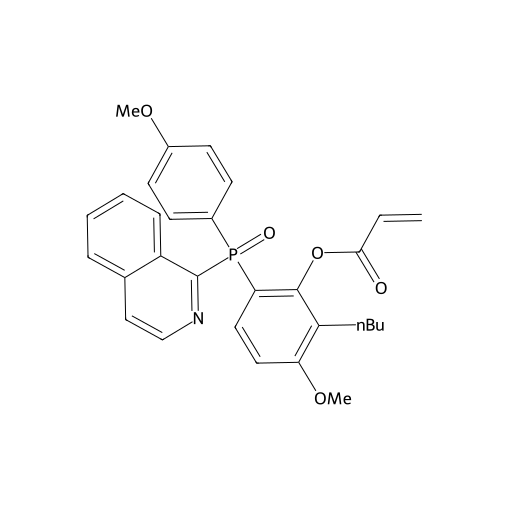 C=CC(=O)Oc1c(P(=O)(c2ccc(OC)cc2)c2nccc3ccccc23)ccc(OC)c1CCCC